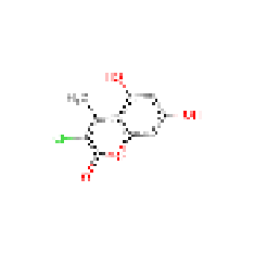 Cc1c(Cl)c(=O)oc2cc(O)cc(O)c12